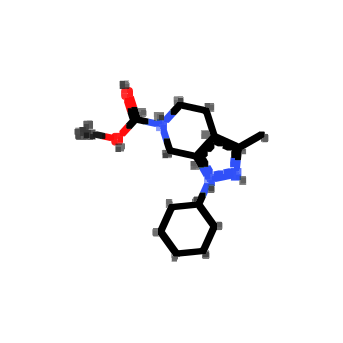 Cc1nn(C2CCCCC2)c2c1CCN(C(=O)OC(C)(C)C)C2